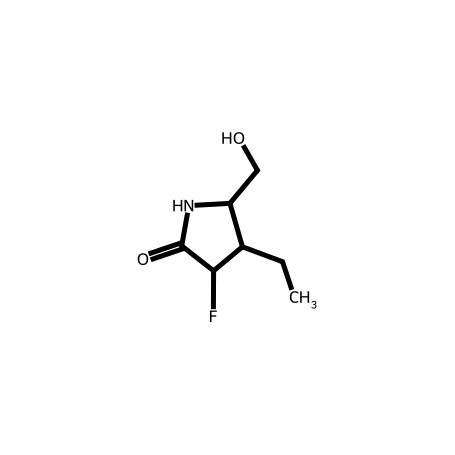 CCC1C(CO)NC(=O)C1F